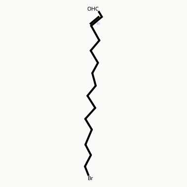 O=C/C=C/CCCCCCCCCCCCBr